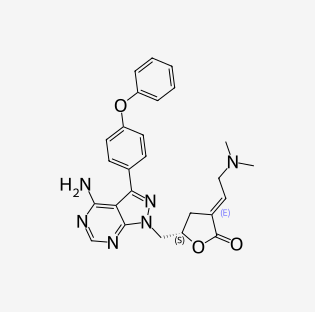 CN(C)C/C=C1\C[C@@H](Cn2nc(-c3ccc(Oc4ccccc4)cc3)c3c(N)ncnc32)OC1=O